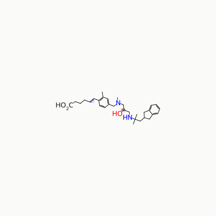 Cc1cc(CN(C)C[C@H](O)CNC(C)(C)CC2Cc3ccccc3C2)ccc1/C=C/CCCC(=O)O